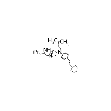 CC(C)=CCN(c1ccc(CCC2CCCCC2)cc1)C1CCN(CC(N)CC(C)C)CC1